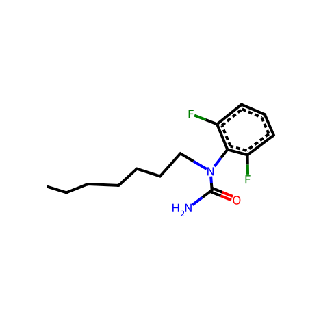 CCCCCCCN(C(N)=O)c1c(F)cccc1F